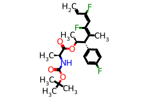 C=C/C(F)=C\C(F)=C(/C)[C@H](c1ccc(F)cc1)[C@H](C)OC(=O)[C@H](C)NC(=O)OC(C)(C)C